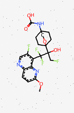 COc1ccc2ncc(F)c(C(F)(F)C(O)(CF)C34CCC(NC(=O)O)(CC3)CO4)c2n1